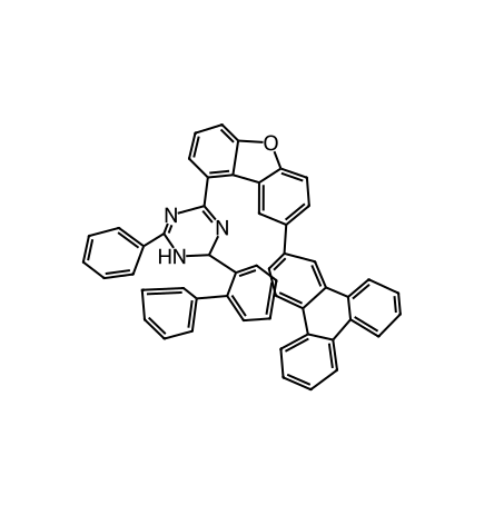 c1ccc(C2=NC(c3cccc4oc5ccc(-c6ccc7c8ccccc8c8ccccc8c7c6)cc5c34)=NC(c3ccccc3-c3ccccc3)N2)cc1